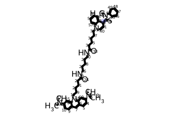 CN(C)c1ccc2cc3ccc(N(C)C)cc3[n+](CCCCCC(=O)NCCCCCNC(=O)CCCCCN3C=C/C(=C4\Sc5ccccc5N4C)c4ccccc43)c2c1